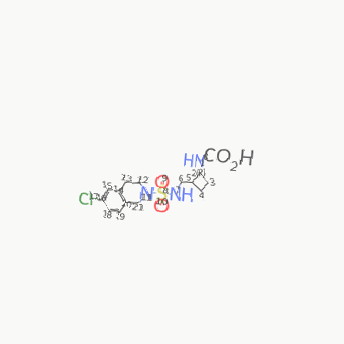 O=C(O)N[C@@H]1CCC1CNS(=O)(=O)N1CCc2cc(Cl)ccc2C1